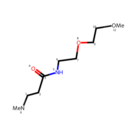 CNCCC(=O)NCCOCCOC